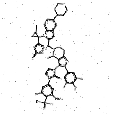 CCP(=O)(CC)c1c(F)cc(-n2ccn(-c3c4c(nn3-c3cc(C)c(F)c(C)c3)CCN(C(=O)c3cc5cc(C6CCOCC6)ccc5n3C3(c5noc(=O)[nH]5)CC3C)C4C)c2=O)cc1NC